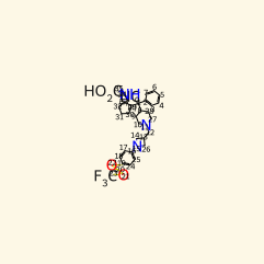 N#CC(c1ccccc1)(C1CCN(CC2CN(c3ccc(S(=O)(=O)C(F)(F)F)cc3)C2)CC1)[C@H]1CCC[C@@H]1NC(=O)O